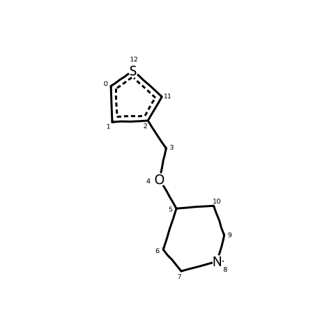 c1cc(COC2CC[N]CC2)cs1